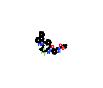 CC(C)(C)OC(=O)NCc1cccc(-n2nc(C(F)(F)F)cc2C(=O)c2cccc(C(NCC3CC3)c3cc4ccccc4c4ccccc34)c2)c1